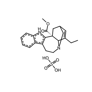 CCC1=CC2CN3CCc4c([nH]c5ccccc45)[C@@](C(=O)OC)(C2)C13.O=S(=O)(O)O